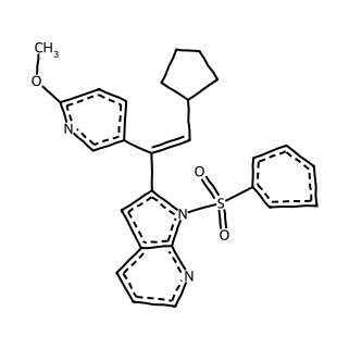 COc1ccc(C(=CC2CCCC2)c2cc3cccnc3n2S(=O)(=O)c2ccccc2)cn1